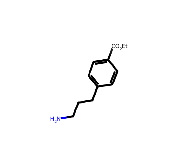 CCOC(=O)c1ccc(CCCN)cc1